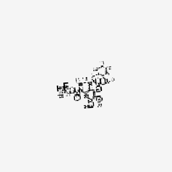 CCOC(=O)N(Cc1ccccc1)[C@H]1C[C@@H](C)N(C(=O)OCC(F)(F)F)c2cc(OC)c(OC)cc21